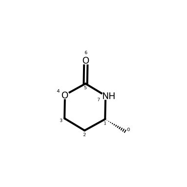 C[C@@H]1CCOC(=O)N1